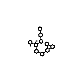 Cc1ccccc1-c1cc(-c2cccc(-c3cccc(-c4ccc5c6ccccc6c6ccccc6c5c4)c3)c2)cc(-c2cccc(-c3ccc(-c4ccccc4)cc3)c2)c1S